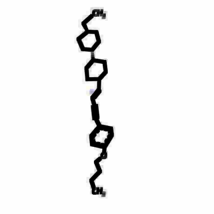 CCCCOc1ccc(C#C/C=C/C2CCC([C@H]3CC[C@H](CC)CC3)CC2)cc1